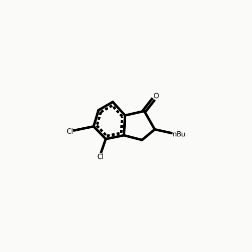 CCCCC1Cc2c(ccc(Cl)c2Cl)C1=O